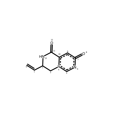 C=CC1Cn2cnc(=O)cc2C(=O)N1